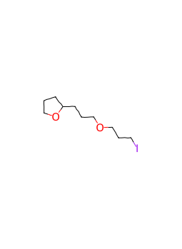 ICCCOCCCC1CCCO1